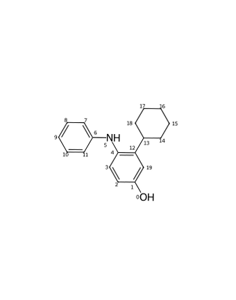 Oc1ccc(Nc2ccccc2)c(C2CCCCC2)c1